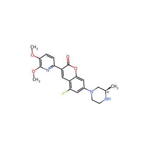 COc1ccc(-c2cc3c(F)cc(N4CCN[C@H](C)C4)cc3oc2=O)nc1OC